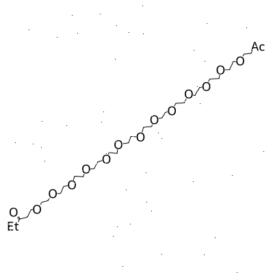 CCC(=O)CCOCCOCCOCCOCCOCCOCCOCCOCCOCCOCCOCCOCCOCCC(C)=O